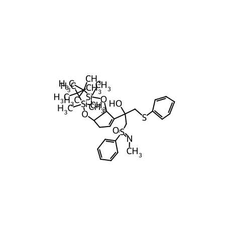 CN=S(=O)(CC(O)(CSc1ccccc1)C1=CCC(O[Si](C)(C)C(C)(C)C)C1O[Si](C)(C)C(C)(C)C)c1ccccc1